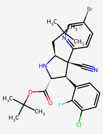 CC(C)(C)C[C@@H]1N[C@@H](C(=O)OC(C)(C)C)[C@H](c2cccc(Cl)c2F)[C@@]1(C#N)c1ccc(Br)cn1